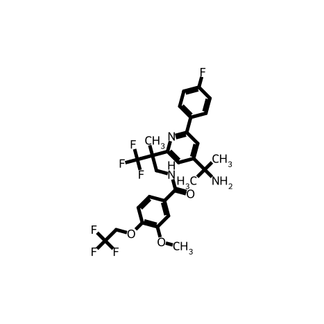 COc1cc(C(=O)NCC(C)(c2cc(C(C)(C)N)cc(-c3ccc(F)cc3)n2)C(F)(F)F)ccc1OCC(F)(F)F